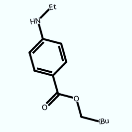 CCNc1ccc(C(=O)OCC(C)CC)cc1